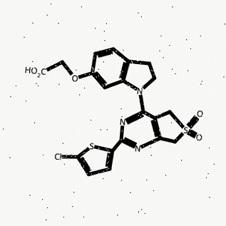 O=C(O)COc1ccc2c(c1)N(c1nc(-c3ccc(Cl)s3)nc3c1CS(=O)(=O)C3)CC2